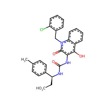 Cc1ccc([C@H](CC(=O)O)NC(=O)Nc2c(O)c3ccccc3n(Cc3ccccc3Cl)c2=O)cc1